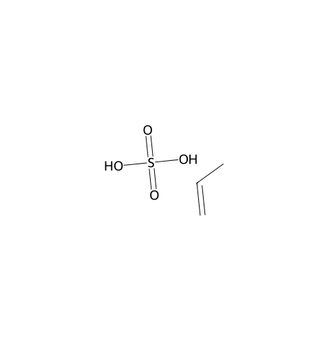 C=CC.O=S(=O)(O)O